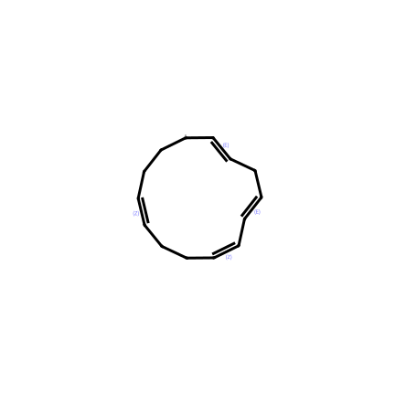 [CH]1/C=C/C/C=C/C=C\CC/C=C\CC1